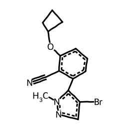 Cn1ncc(Br)c1-c1cccc(OC2CCC2)c1C#N